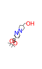 CC1(C)OB(c2ccc(N3CCC(CO)CC3)nc2)OC1(C)C